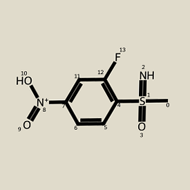 CS(=N)(=O)c1ccc([N+](=O)O)cc1F